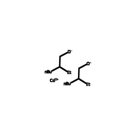 CCCCC(CC)C[O-].CCCCC(CC)C[O-].[Cd+2]